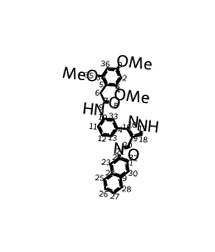 COc1cc(OC)c(CC(=O)Nc2cccc(-c3n[nH]cc3-c3nc4cc5ccccc5cc4o3)c2)c(OC)c1